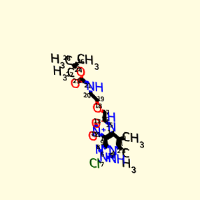 CC1=C(C)N2NN(Cl)N=C2C([N+](=O)[O-])=C1NCCOCCNC(=O)OC(C)(C)C